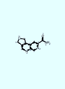 NC(=O)c1cc2c3c(cnc2cn1)COC3